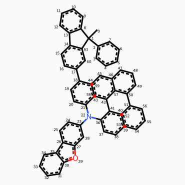 CC1(c2ccccc2)c2ccccc2-c2ccc(-c3ccc(N(c4ccc5c(c4)oc4ccccc45)c4ccccc4-c4cccc5cccc(-c6ccccc6)c45)cc3)cc21